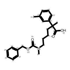 CN(CCCCC(C)(C(=O)O)c1cccc(I)c1)C(=O)OCc1ccccc1